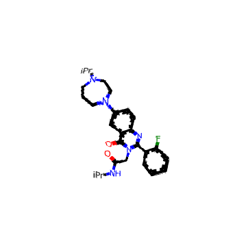 CC(C)NC(=O)Cn1c(-c2ccccc2F)nc2ccc(N3CCCN(C(C)C)CC3)cc2c1=O